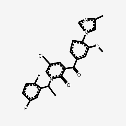 COc1cc(C(=O)c2cc(Cl)cn(C(C)c3cc(F)ccc3F)c2=O)ccc1-n1cnc(C)c1